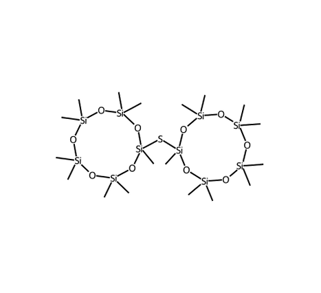 C[Si]1(C)O[Si](C)(C)O[Si](C)(C)O[Si](C)(S[Si]2(C)O[Si](C)(C)O[Si](C)(C)O[Si](C)(C)O[Si](C)(C)O2)O[Si](C)(C)O1